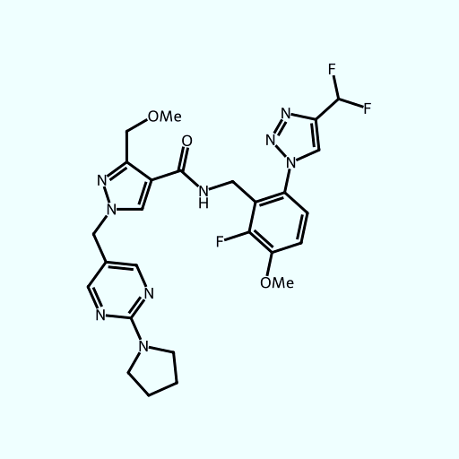 COCc1nn(Cc2cnc(N3CCCC3)nc2)cc1C(=O)NCc1c(-n2cc(C(F)F)nn2)ccc(OC)c1F